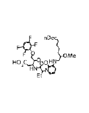 CCCCCCCCCCCCCCC(CNc1cccn(C(CC)C(=O)NC(CC(=O)O)C(=O)COc2c(F)c(F)cc(F)c2F)c1=O)OC